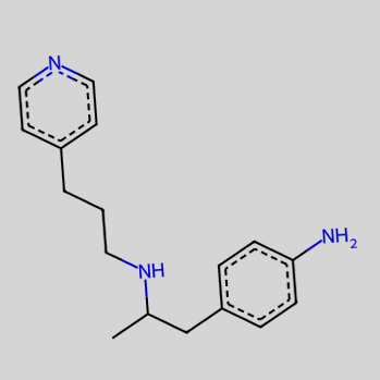 CC(Cc1ccc(N)cc1)NCCCc1ccncc1